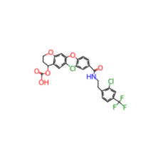 O=C(O)OC1CCOc2cc(Oc3ccc(C(=O)NCCc4ccc(C(F)(F)F)cc4Cl)cc3)c(Cl)cc21